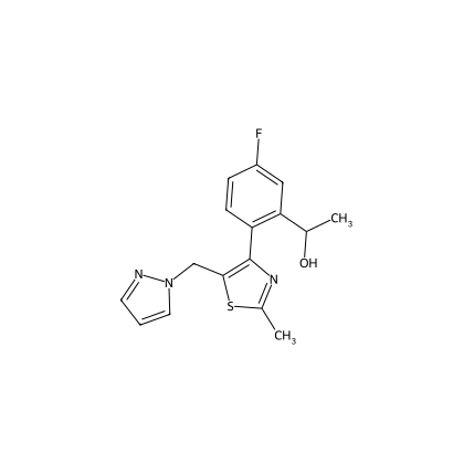 Cc1nc(-c2ccc(F)cc2C(C)O)c(Cn2cccn2)s1